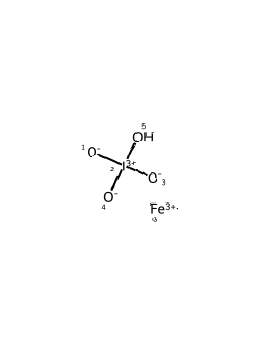 [Fe+3].[O-][I+3]([O-])([O-])O